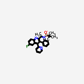 C[C@H](N[S+]([O-])C(C)(C)C)c1nc2ccc(F)cc2c(-c2ccccn2)c1-c1ccccc1